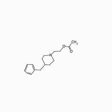 CC(=O)OCCN1CCC(Cc2ccccc2)CC1